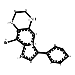 Brc1c2c(cn3c(-c4ccccc4)cnc13)NCCO2